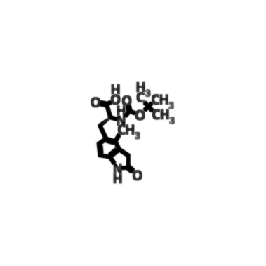 Cc1c(C[C@H](NC(=O)OC(C)(C)C)C(=O)O)ccc2c1CC(=O)N2